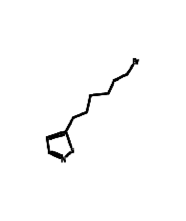 BrCCCCCCc1ccns1